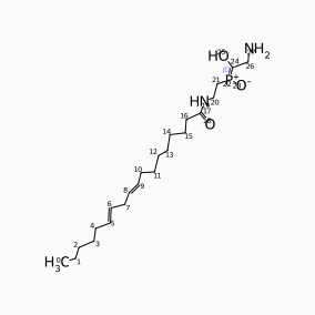 CCCCCC=CCC=CCCCCCCCC(=O)NCC/[P+]([O-])=C(\O)CN